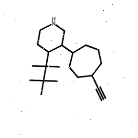 C#CC1CCCC(C2CNCCC2C(C)(C)C(C)(C)C)CC1